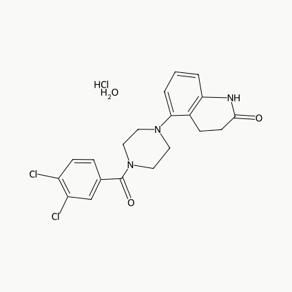 Cl.O.O=C1CCc2c(cccc2N2CCN(C(=O)c3ccc(Cl)c(Cl)c3)CC2)N1